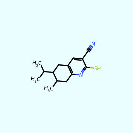 CC(C)C1Cc2cc(C#N)c(S)nc2CC1C